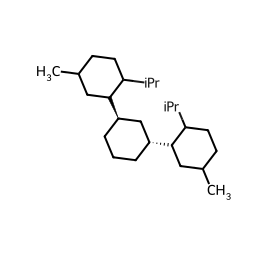 CC1CCC(C(C)C)C([C@@H]2CCC[C@@H](C3CC(C)CCC3C(C)C)C2)C1